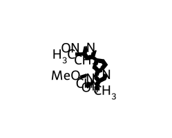 COC(C)Cn1c(=O)n(C)c2cnc3ccc(-c4cncc(C(C)(C)N=O)c4)cc3c21